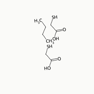 CCCC.O=C(O)CS.O=C(O)CS